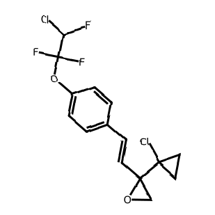 FC(Cl)C(F)(F)Oc1ccc(C=CC2(C3(Cl)CC3)CO2)cc1